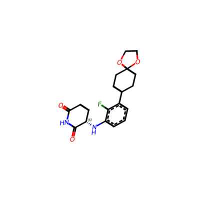 O=C1CC[C@H](Nc2cccc(C3CCC4(CC3)OCCO4)c2F)C(=O)N1